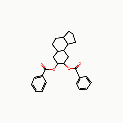 O=C(OC1CC2CCC3CCCC3C2CC1OC(=O)c1ccccc1)c1ccccc1